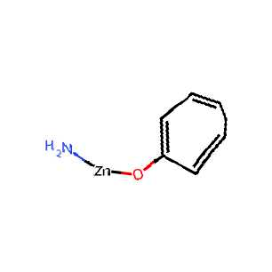 [NH2][Zn][O]c1ccccc1